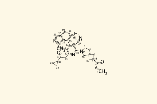 C=CC(=O)N1CC2(CCN(c3nc4c(c(-c5c(C)ccc6cnn(C)c56)c3C#N)COC(C3CC3)C4)C2)C1